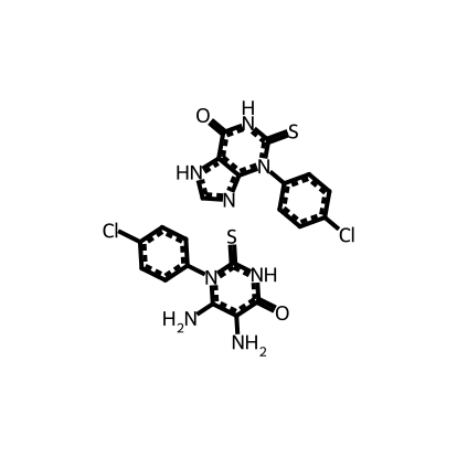 Nc1c(N)n(-c2ccc(Cl)cc2)c(=S)[nH]c1=O.O=c1[nH]c(=S)n(-c2ccc(Cl)cc2)c2nc[nH]c12